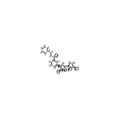 O=C(/C=C/c1ccccc1)c1cccc(-n2cc(-c3ccc(Cl)o3)[nH]c2=O)c1